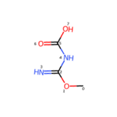 COC(=N)NC(=O)O